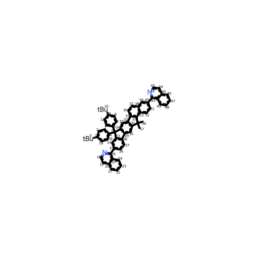 CC(C)(C)c1ccc(C2(c3ccc(C(C)(C)C)cc3)c3cc(-c4nccc5ccccc45)ccc3-c3cc4c(cc32)-c2ccc3cc(-c5nccc6ccccc56)ccc3c2C4(C)C)cc1